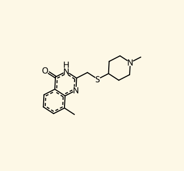 Cc1cccc2c(=O)[nH]c(CSC3CCN(C)CC3)nc12